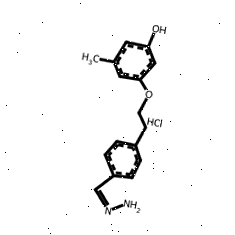 Cc1cc(O)cc(OCCc2ccc(/C=N\N)cc2)c1.Cl